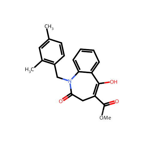 COC(=O)C1=C(O)c2ccccc2N(Cc2ccc(C)cc2C)C(=O)C1